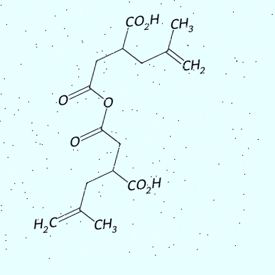 C=C(C)CC(CC(=O)OC(=O)CC(CC(=C)C)C(=O)O)C(=O)O